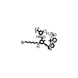 Cc1c(C#Cc2cnc3ccc(N4CCCC(OC(N)=O)[C@@H]4C(C)(C)C)nn23)cc(NCCCCCCCBr)cc1C(=O)Nc1cc(Cl)cc(C(F)(F)F)c1